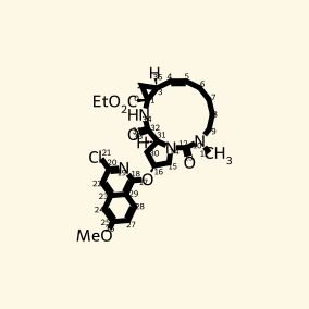 CCOC(=O)[C@@]12C[C@H]1/C=C\CCCCN(C)C(=O)N1C[C@H](Oc3nc(Cl)cc4cc(OC)ccc34)C[C@H]1C(=O)N2